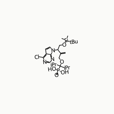 C=C(COC(C(C)C)(C(C)C)P(=O)(O)O)C(CO[Si](C)(C)C(C)(C)C)n1ccc2c(Cl)ncnc21